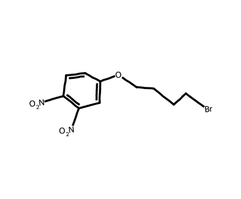 O=[N+]([O-])c1ccc(OCCCCBr)cc1[N+](=O)[O-]